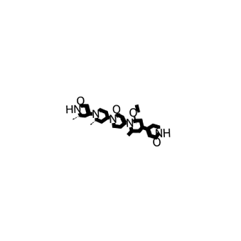 CCO[C@H]1CC(C2=CC(=O)NCC2)CC(C)N1C1=CC(=O)N(C2CCN(C3=CC(=O)N[C@@H](C)C3)[C@@H](C)C2)CC1